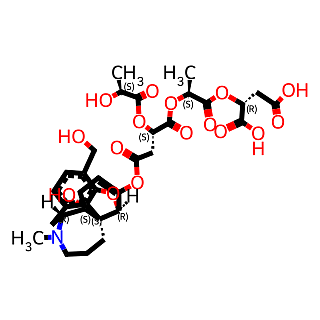 C[C@H](O)C(=O)O[C@@H](CC(=O)OC1=CC[C@@]2(O)[C@H]3Cc4ccc(CO)c5c4[C@@]2(CCCN3C)[C@H]1O5)C(=O)O[C@@H](C)C(=O)O[C@H](CC(=O)O)C(=O)O